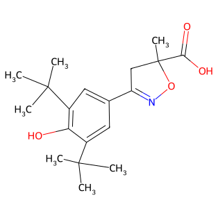 CC1(C(=O)O)CC(c2cc(C(C)(C)C)c(O)c(C(C)(C)C)c2)=NO1